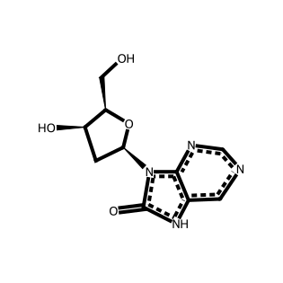 O=c1[nH]c2cncnc2n1[C@H]1C[C@@H](O)[C@@H](CO)O1